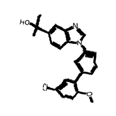 COc1ccc(Cl)cc1-c1cccc(-n2cnc3cc(C(C)(C)O)ccc32)c1